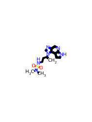 C=C(CCNS(=O)(=O)N(C)C)n1cnc2cnc3[nH]ccc3c21